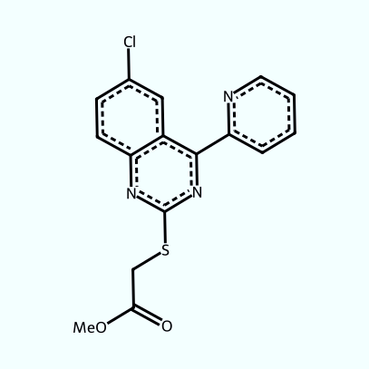 COC(=O)CSc1nc(-c2ccccn2)c2cc(Cl)ccc2n1